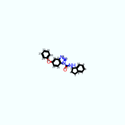 O=C(NC1CCc2ccccc21)n1nnc2cc(Oc3ccccc3)ccc21